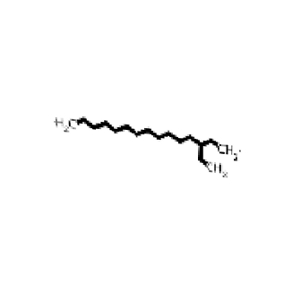 [CH2]CCCCCCCCCCCC(C[CH2])CC